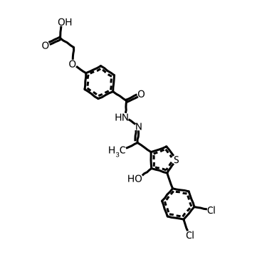 C/C(=N\NC(=O)c1ccc(OCC(=O)O)cc1)c1csc(-c2ccc(Cl)c(Cl)c2)c1O